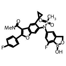 CNC(=O)c1c(-c2ccc(F)cc2)oc2cc(N(c3cc(F)c4c(c3)COB4O)S(C)(=O)=O)c(C3CC3)cc12